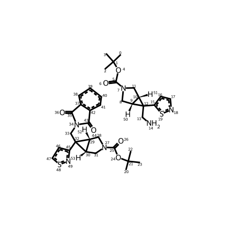 CC(C)(C)OC(=O)N1C[C@@H]2[C@H](C1)C2(CN)c1ccns1.CC(C)(C)OC(=O)N1C[C@@H]2[C@H](C1)C2(CN1C(=O)c2ccccc2C1=O)c1ccsn1